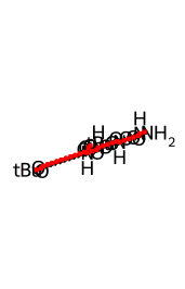 CC(C)(C)OC(=O)CCCCCCCCCCCCCCCCCCC(=O)N[C@@H](CCC(=O)NCCOCCOCC(=O)NCCOCCOCC(=O)NCCN)C(=O)OC(C)(C)C